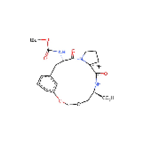 CC(C)(C)OC(=O)N[C@H]1Cc2cccc(c2)OCCC[C@H](C(=O)O)NC(=O)[C@@H]2CCCN2C1=O